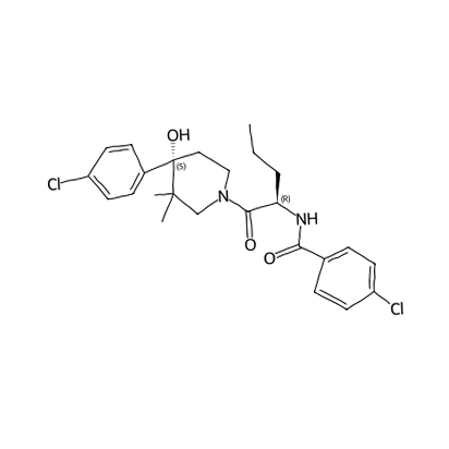 CCC[C@@H](NC(=O)c1ccc(Cl)cc1)C(=O)N1CC[C@](O)(c2ccc(Cl)cc2)C(C)(C)C1